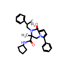 CC(CN1C(=O)c2ccc(-c3ccccc3)n2CC1(C)C(=O)NC1CCCC1)c1ccccc1